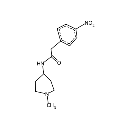 CN1CCC(NC(=O)Cc2ccc([N+](=O)[O-])cc2)CC1